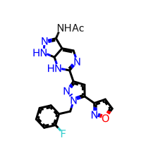 CC(=O)NC1=NNC2NC(c3cc(-c4ccon4)n(Cc4ccccc4F)n3)=NC=C12